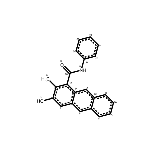 Cc1c(O)cc2cc3ccccc3cc2c1C(=O)Nc1ccccc1